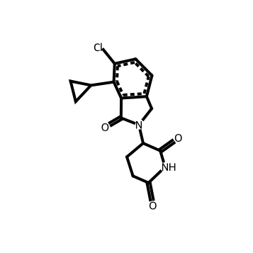 O=C1CCC(N2Cc3ccc(Cl)c(C4CC4)c3C2=O)C(=O)N1